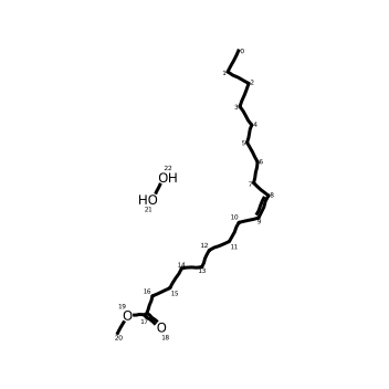 CCCCCCCC/C=C\CCCCCCCC(=O)OC.OO